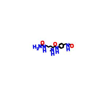 CNC(CCCNC(N)=O)C(=O)Nc1ccc(CNC=O)cc1